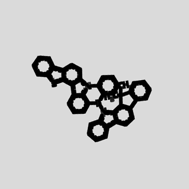 CC1(C)c2ccccc2-c2ccc3c4ccccc4n(B4c5ccccc5-n5c6ccc7c8ccccc8sc7c6c6cccc4c65)c3c21